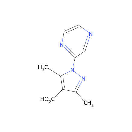 Cc1nn(-c2cnccn2)c(C)c1C(=O)O